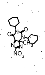 CC12N=C([N+](=O)[O-])N=C1C(=O)N(C1CCCCC1)C(=O)N2C1CCCCC1